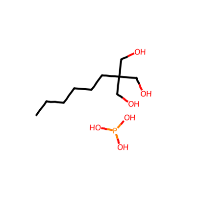 CCCCCCC(CO)(CO)CO.OP(O)O